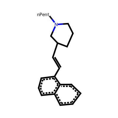 CCCCCN1CCCC(/C=C/c2cccc3ccccc23)C1